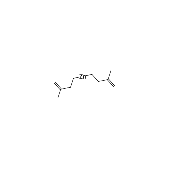 C=C(C)C[CH2][Zn][CH2]CC(=C)C